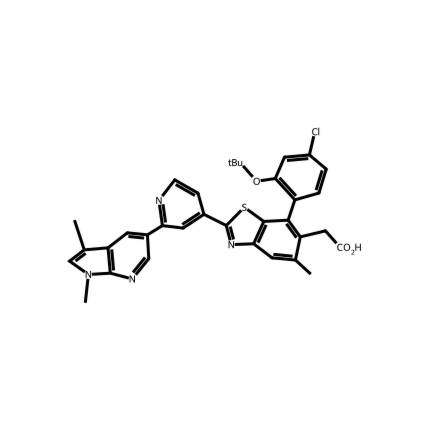 Cc1cc2nc(-c3ccnc(-c4cnc5c(c4)c(C)cn5C)c3)sc2c(-c2ccc(Cl)cc2OC(C)(C)C)c1CC(=O)O